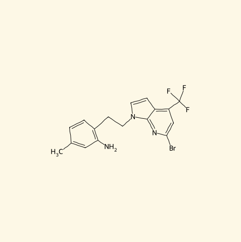 Cc1ccc(CCn2ccc3c(C(F)(F)F)cc(Br)nc32)c(N)c1